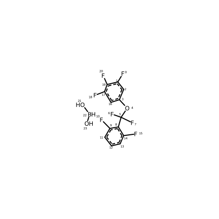 Fc1cc(OC(F)(F)c2c(F)cccc2F)cc(F)c1F.OBO